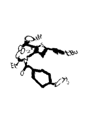 CC[C@@H](C(=O)O)N(C(=O)C1CCC(C)CC1)c1cc(C#CC(C)(C)C)sc1C(=O)OC